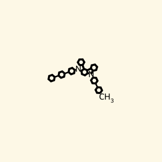 Cc1ccc(-c2ccc(-n3c4ccccc4c4c5c6ccccc6n(-c6ccc(-c7ccc(-c8ccccc8)cc7)cc6)c5ccc43)cc2)cc1